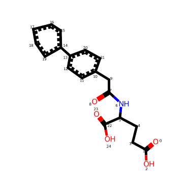 O=C(O)CCC(NC(=O)Cc1ccc(-c2ccccc2)cc1)C(=O)O